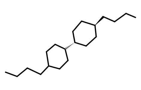 CCCCC1CCC([C@H]2CC[C@H](CCCC)CC2)CC1